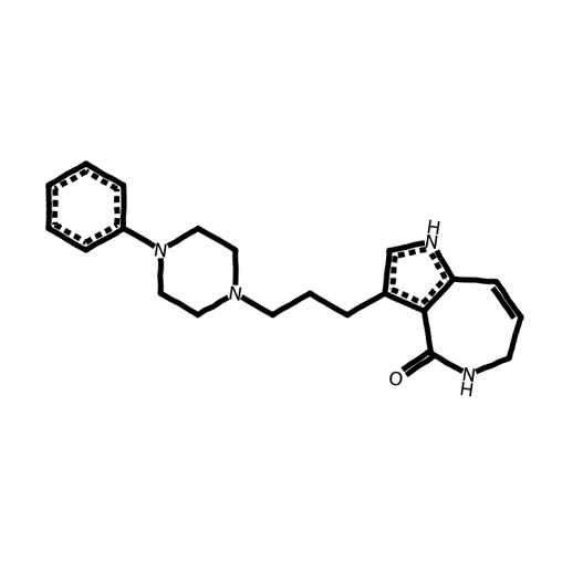 O=C1NCC=Cc2[nH]cc(CCCN3CCN(c4ccccc4)CC3)c21